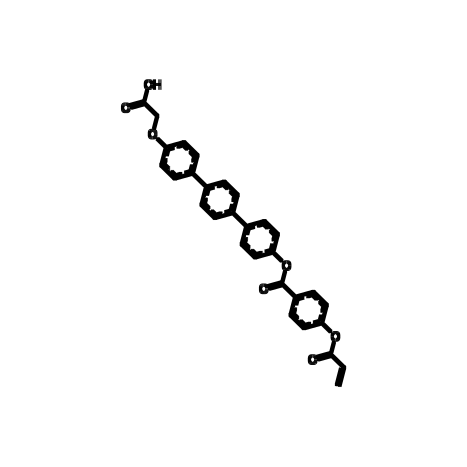 C=CC(=O)Oc1ccc(C(=O)Oc2ccc(-c3ccc(-c4ccc(OCC(=O)O)cc4)cc3)cc2)cc1